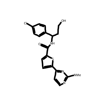 CNc1nccc(-c2ccc(C(=O)NC(CCO)c3ccc(Cl)cc3)s2)n1